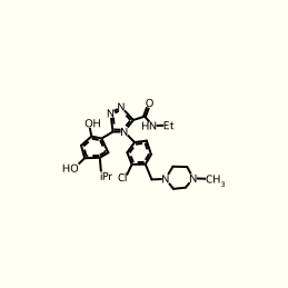 CCNC(=O)c1nnc(-c2cc(C(C)C)c(O)cc2O)n1-c1ccc(CN2CCN(C)CC2)c(Cl)c1